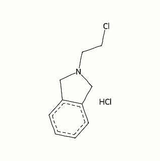 Cl.ClCCN1Cc2ccccc2C1